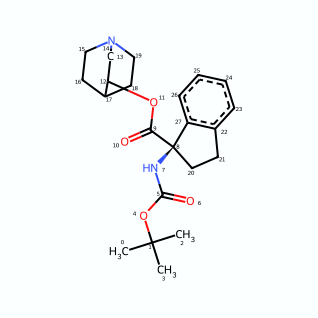 CC(C)(C)OC(=O)N[C@]1(C(=O)OC2CN3CCC2CC3)CCc2ccccc21